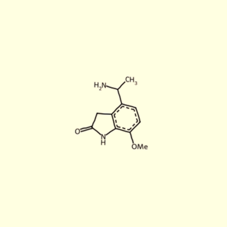 COc1ccc(C(C)N)c2c1NC(=O)C2